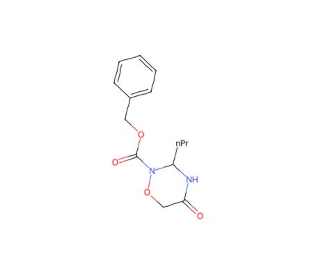 CCCC1NC(=O)CON1C(=O)OCc1ccccc1